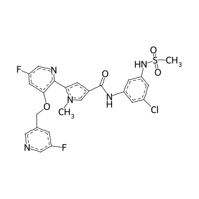 Cn1cc(C(=O)Nc2cc(Cl)cc(NS(C)(=O)=O)c2)cc1-c1ncc(F)cc1OCc1cncc(F)c1